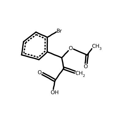 C=C(C(=O)O)C(OC(C)=O)c1ccccc1Br